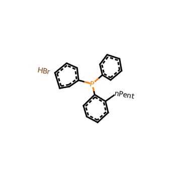 Br.CCCCCc1ccccc1P(c1ccccc1)c1ccccc1